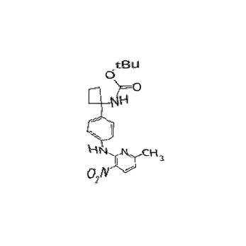 Cc1ccc([N+](=O)[O-])c(Nc2ccc(C3(NC(=O)OC(C)(C)C)CCC3)cc2)n1